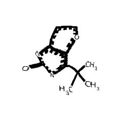 CC(C)(C)c1nc(=O)oc2ccoc12